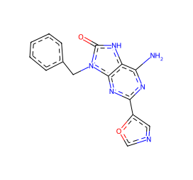 Nc1nc(-c2cnco2)nc2c1[nH]c(=O)n2Cc1ccccc1